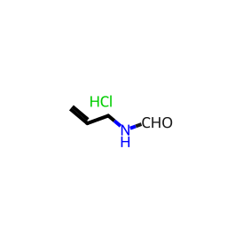 C=CCNC=O.Cl